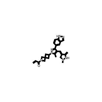 C=CC(=O)N1CC2(CC(n3nc(-c4ccc5[nH]ncc5c4)c(/C=C4\CN(C)NC4=C)c3C)C2)C1